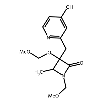 COCOC1(Cc2cc(O)ccn2)C(=O)N(COC)C1C